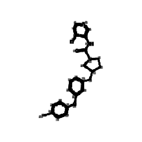 O=C(Nc1cnccc1Cl)N1CCC(Cc2cccc(Oc3ccc(F)cc3)c2)C1